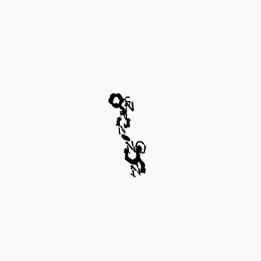 Cn1ccc2c1CCN(CCN1CCN(c3nsc4ccccc34)CC1)C2=O